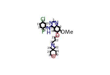 COc1cc2ncnc(Nc3cc(Cl)ccc3F)c2cc1OCCCN1CC2(CCOCC2)C1